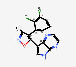 Cc1noc(-c2c[nH]c3nccnc23)c1-c1cccc(Cl)c1Cl